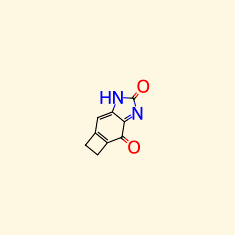 O=C1N=C2C(=O)C3=C(C=C2N1)CC3